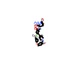 N#Cc1ccc(Oc2ccc(Br)c(CN3CCC(c4cc5c(cc4F)C(=O)N(C4CCC(=O)NC4=O)C5)CC3)c2)cc1